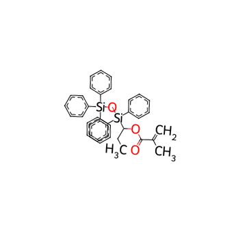 C=C(C)C(=O)OC(CC)[Si](O[Si](c1ccccc1)(c1ccccc1)c1ccccc1)(c1ccccc1)c1ccccc1